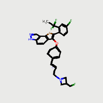 CC(F)(F)c1cc(F)ccc1-c1sc2c(ccc3[nH]ncc32)c1OC1=CC=C(/C=C/CN2CC(CF)C2)CC1